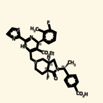 CCOC(=O)C1=C(CN2CC[C@]3(F)C(=O)N([C@H](C)c4ccc(C(=O)O)cc4)C[C@@H]3C2)NC(c2nccs2)=N[C@H]1c1cccc(F)c1C